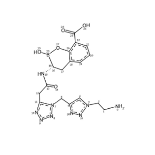 NCCn1cc(Cn2nnnc2CC(=O)N[C@H]2Cc3cccc(C(=O)O)c3OB2O)nn1